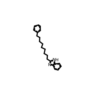 c1ccc(CCCCCCCCCc2nc3ccccc3[nH]2)cc1